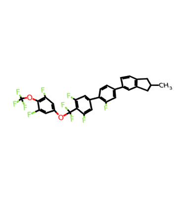 CC1Cc2ccc(-c3ccc(-c4cc(F)c(C(F)(F)Oc5cc(F)c(OC(F)(F)F)c(F)c5)c(F)c4)c(F)c3)cc2C1